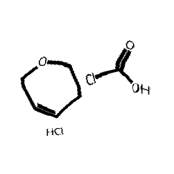 C1=CCOCC1.Cl.O=C(O)Cl